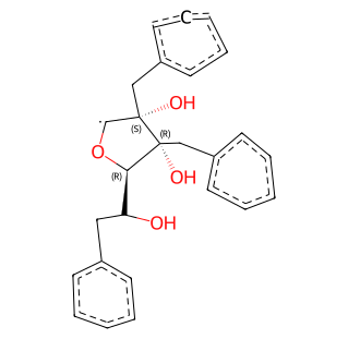 OC(Cc1ccccc1)[C@H]1O[CH][C@@](O)(Cc2ccccc2)[C@@]1(O)Cc1ccccc1